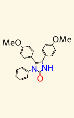 COc1ccc(-c2[nH]c(=O)n(-c3ccccc3)c2-c2ccc(OC)cc2)cc1